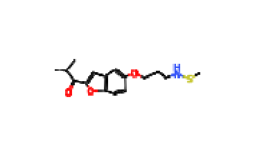 CSNCCCOc1ccc2oc(C(=O)C(C)C)cc2c1